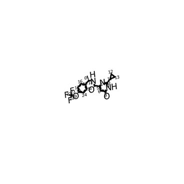 C[C@@H](NC(=O)c1cc(=O)[nH]c(C2CC2)n1)c1ccc(OC(F)(F)F)cc1